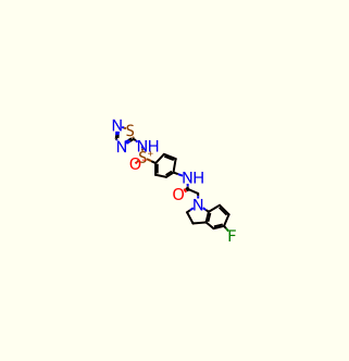 O=C(CN1CCc2cc(F)ccc21)Nc1ccc([S+]([O-])Nc2ncns2)cc1